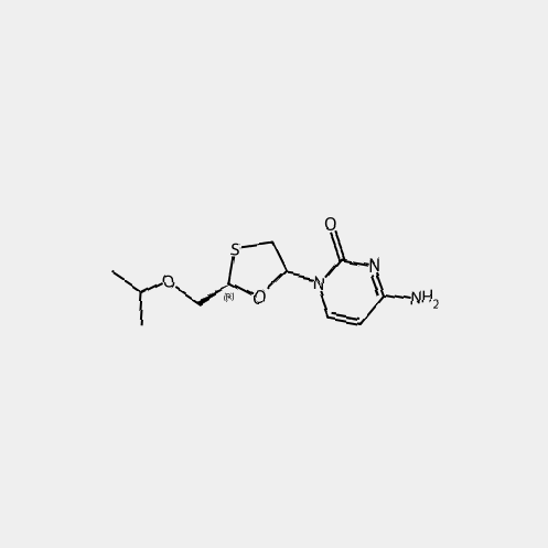 CC(C)OC[C@@H]1OC(n2ccc(N)nc2=O)CS1